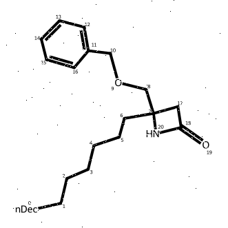 CCCCCCCCCCCCCCCCC1(COCc2ccccc2)CC(=O)N1